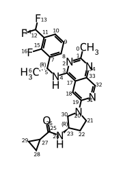 Cc1nc(N[C@H](C)c2cccc(C(F)F)c2F)c2cc(N3CC[C@@H](NC(=O)C4CC4)C3)ncc2n1